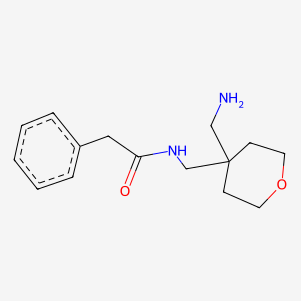 NCC1(CNC(=O)Cc2ccccc2)CCOCC1